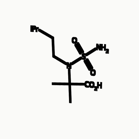 CC(C)CCN(C(C)(C)C(=O)O)S(N)(=O)=O